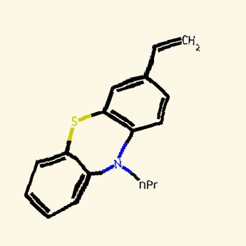 C=Cc1ccc2c(c1)Sc1ccccc1N2CCC